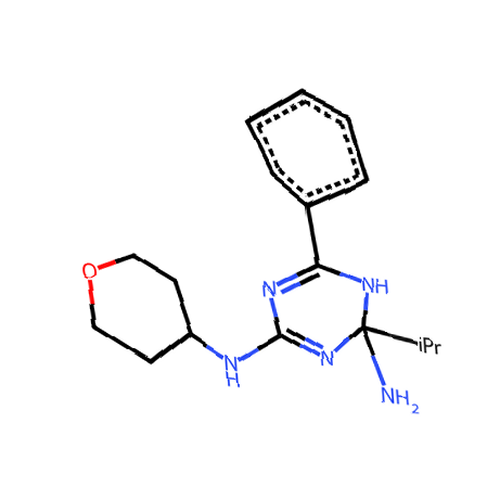 CC(C)C1(N)N=C(NC2CCOCC2)N=C(c2ccccc2)N1